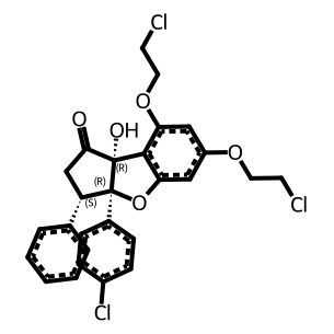 O=C1C[C@@H](c2ccccc2)[C@]2(c3ccc(Cl)cc3)Oc3cc(OCCCl)cc(OCCCl)c3[C@]12O